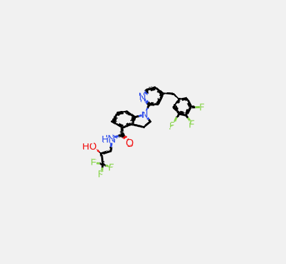 O=C(NC[C@H](O)C(F)(F)F)c1cccc2c1CCN2c1cc(Cc2cc(F)c(F)c(F)c2)ccn1